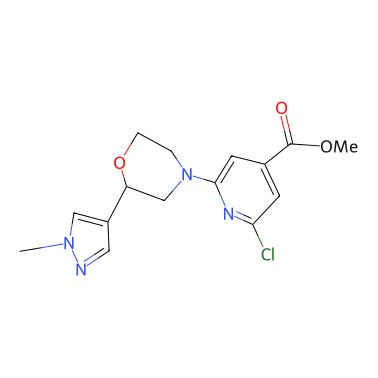 COC(=O)c1cc(Cl)nc(N2CCOC(c3cnn(C)c3)C2)c1